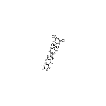 O=S(=O)(c1cc(Cl)cc(Cl)c1)N1CCN(c2nc(Cc3ccccc3)cs2)CC1